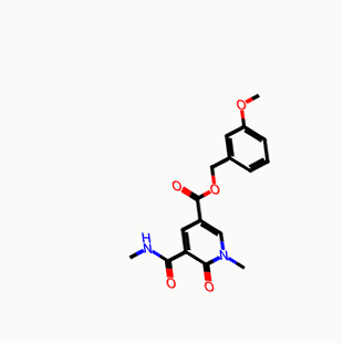 CNC(=O)c1cc(C(=O)OCc2cccc(OC)c2)cn(C)c1=O